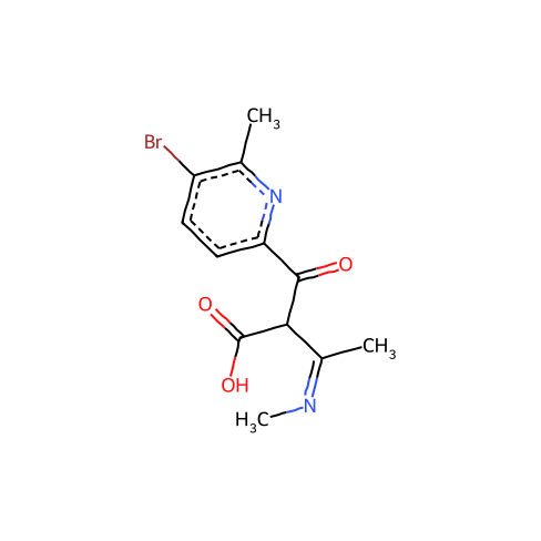 C/N=C(/C)C(C(=O)O)C(=O)c1ccc(Br)c(C)n1